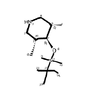 C[C@@H]1CNC[C@H](C)[C@H]1O[Si](C)(C)C(C)(C)C